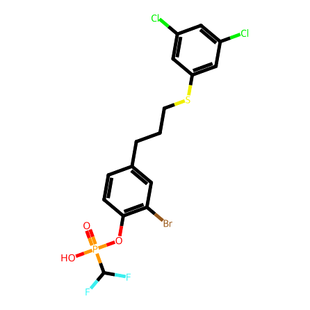 O=P(O)(Oc1ccc(CCCSc2cc(Cl)cc(Cl)c2)cc1Br)C(F)F